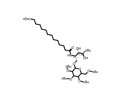 CCCCCCCCCCCCCCCCCCCCCCC(=O)N[C@@H](COC1OC(COCCCC)C(OCCCC)C(OCCCC)C1OCCCC)[C@H](O)[C@H](O)CCCC